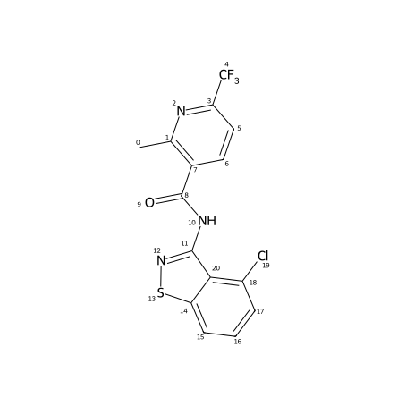 Cc1nc(C(F)(F)F)ccc1C(=O)Nc1nsc2cccc(Cl)c12